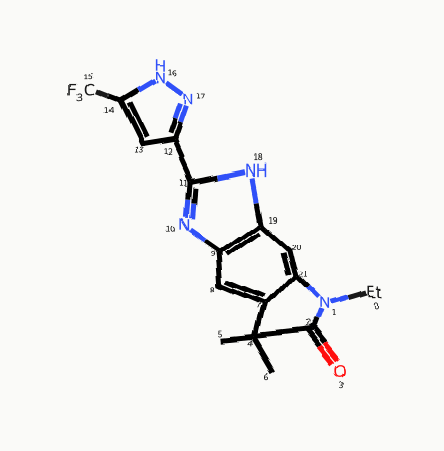 CCN1C(=O)C(C)(C)c2cc3nc(-c4cc(C(F)(F)F)[nH]n4)[nH]c3cc21